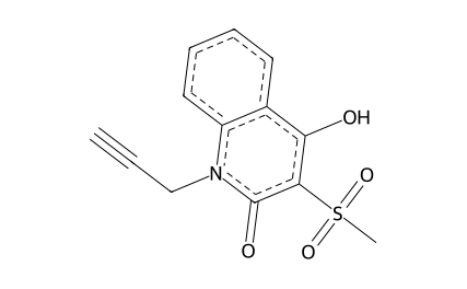 C#CCn1c(=O)c(S(C)(=O)=O)c(O)c2ccccc21